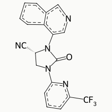 N#C[C@H]1CN(c2cccc(C(F)(F)F)n2)C(=O)N1c1cncc2ccccc12